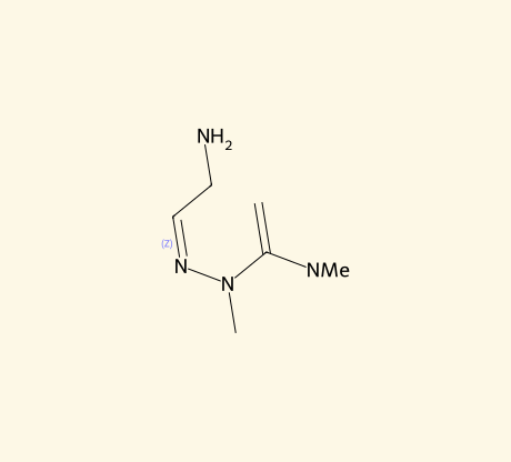 C=C(NC)N(C)/N=C\CN